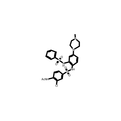 CC(=O)Nc1ccc(S(=O)(=O)Nc2ccc(N3CCN(C)CC3)cc2NS(=O)(=O)c2ccccc2)cc1Cl